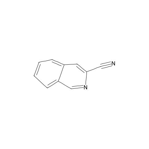 N#Cc1cc2ccccc2cn1